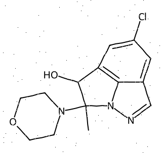 CC1(N2CCOCC2)C(O)c2cc(Cl)cc3cnn1c23